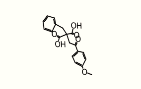 COc1ccc(C(=O)CC(Cc2ccccc2)(C(=O)O)C(=O)O)cc1